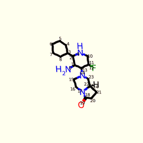 NC1C(C2CCCCC2)NCC(F)C1N1CCN2C(=O)CC[C@H]2C1